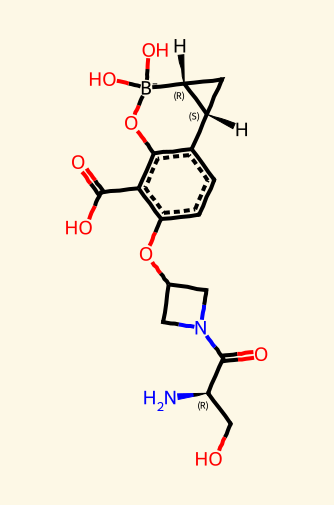 N[C@H](CO)C(=O)N1CC(Oc2ccc3c(c2C(=O)O)O[B-](O)(O)[C@@H]2C[C@H]32)C1